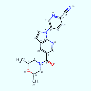 CC1CN(C(=O)c2cnc3c(ccn3-c3ccc(C#N)nc3)c2)CC(C)O1